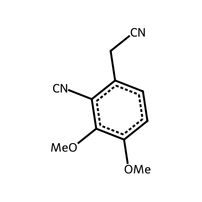 [C-]#[N+]c1c(CC#N)ccc(OC)c1OC